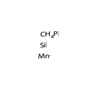 C.[Mn].[P].[Si]